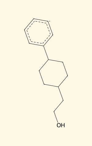 OCCC1CCC(c2c[c]ccc2)CC1